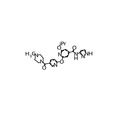 CC(C)Oc1cc(C(=O)Nc2cc[nH]n2)cc(Oc2ccc(C(=O)N3CCN(C)CC3)cn2)n1